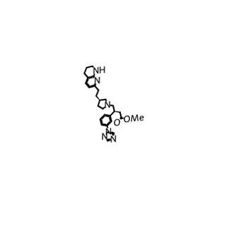 COC(=O)C[C@H](CN1CC[C@@H](CCc2ccc3c(n2)NCCC3)C1)c1cccc(-n2cncn2)c1